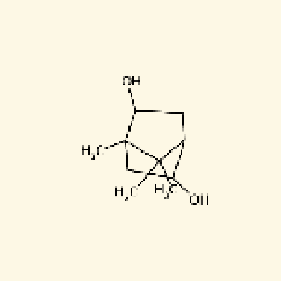 CC1(C)C2CC(O)C1(C)CC2O